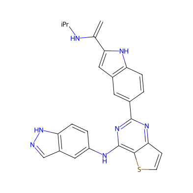 C=C(NC(C)C)c1cc2cc(-c3nc(Nc4ccc5[nH]ncc5c4)c4sccc4n3)ccc2[nH]1